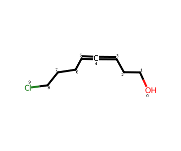 OCCC=C=CCCCCl